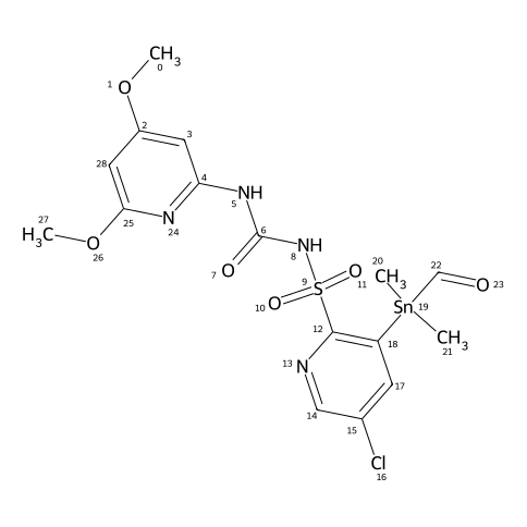 COc1cc(NC(=O)NS(=O)(=O)c2ncc(Cl)c[c]2[Sn]([CH3])([CH3])[CH]=O)nc(OC)c1